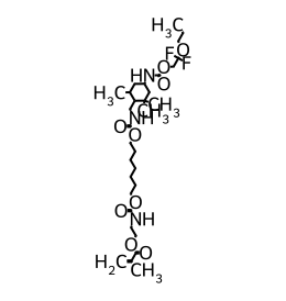 C=C(C)C(=O)OCCNC(=O)OCCCCCCCOC(=O)NCC1C(C)CC(NC(=O)OCC(F)(F)OCCC)CC1(C)C